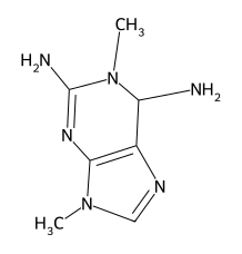 CN1C(N)=Nc2c(ncn2C)C1N